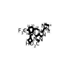 C[C@@H](Nc1nc(C(=O)O)nc2nc(-c3nccn3C)n(Cc3ccc(C(F)(F)F)cc3)c12)C1CCC1